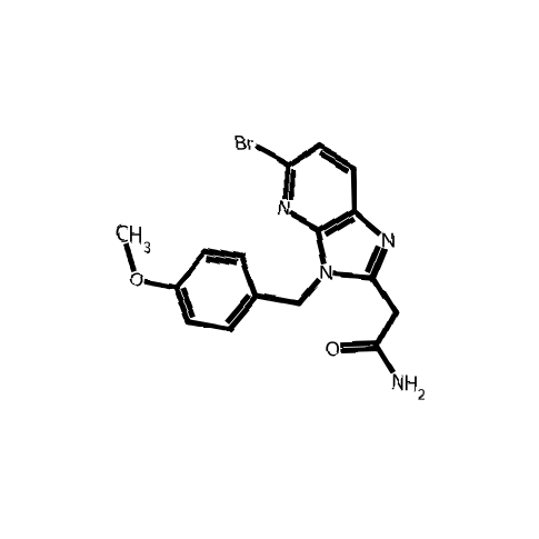 COc1ccc(Cn2c(CC(N)=O)nc3ccc(Br)nc32)cc1